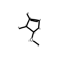 COC1CC=C(C)C1C